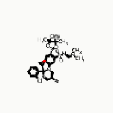 CN(C)C=NS(=O)(=O)c1cc(N2C=C(Br)C=NC2(c2ccccc2Cl)C2CC2)ccc1B1OC(C)(C)C(C)(C)O1